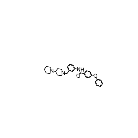 O=C(Nc1cccc(CN2CCC(N3CCCCC3)CC2)c1)c1ccc(Oc2ccccc2)cc1